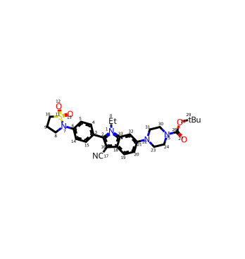 CCn1c(-c2ccc(N3CCCS3(=O)=O)cc2)c(C#N)c2ccc(N3CCN(C(=O)OC(C)(C)C)CC3)cc21